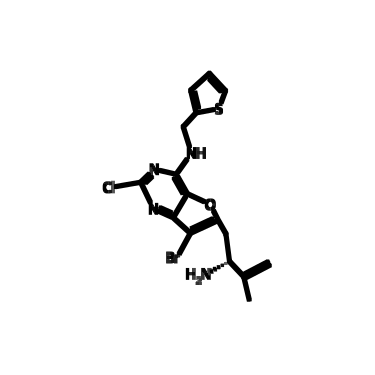 C=C(C)[C@H](N)Cc1oc2c(NCc3cccs3)nc(Cl)nc2c1Br